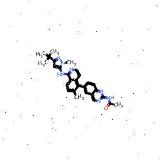 CC(=O)Nc1ncc2cc(-c3c(C)ccc4c(Nc5cc(C(C)(C)C)nn5C)nccc34)ccc2n1